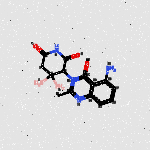 BC1(B)CC(=O)NC(=O)C1n1c(C)nc2cccc(N)c2c1=O